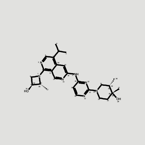 CC(C)c1cnc(N2C[C@H](O)[C@H]2C)c2cnc(Nc3ccnc(N4CC[C@@](C)(O)[C@@H](F)C4)n3)cc12